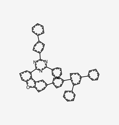 c1ccc(-c2ccc(-c3nc(-c4ccccc4)nc(-c4cccc5oc6ccc(-c7ccc(-c8ccc(-c9ccccc9)cc8-c8ccccc8)cc7)cc6c45)n3)cc2)cc1